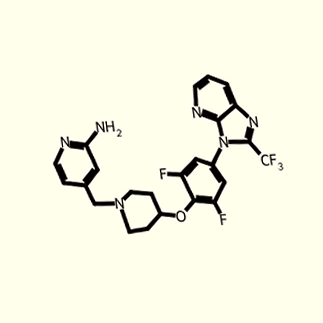 Nc1cc(CN2CCC(Oc3c(F)cc(-n4c(C(F)(F)F)nc5cccnc54)cc3F)CC2)ccn1